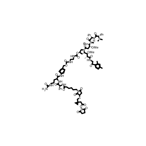 CC[C@H](C)C([C@@H](CC(=O)N1C[C@@H](OC(=O)NCCNC(=O)OCc2ccc(NC(=O)C(CCCNC(N)=O)NC(=O)[C@@H](NC(=O)CCCCCN3C(=O)CC(SCC4(CC(=O)ON5C(=O)CCC5=O)CC4)C3=O)C(C)C)cc2)C[C@H]1[C@H](OC)[C@@H](C)C(=O)NCC(=O)c1ccc(C)cc1C)OC)N(C)C(=O)[C@@H](NC(=O)[C@H](C(C)C)N(C)C)C(C)C